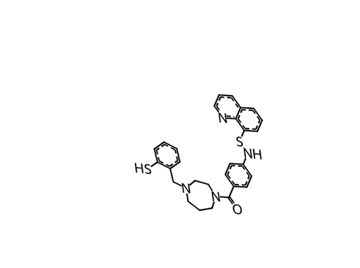 O=C(c1ccc(NSc2cccc3cccnc23)cc1)N1CCCN(Cc2ccccc2S)CC1